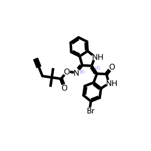 C#CCC(C)(C)C(=O)O/N=C1/C(=C2/C(=O)Nc3cc(Br)ccc32)Nc2ccccc21